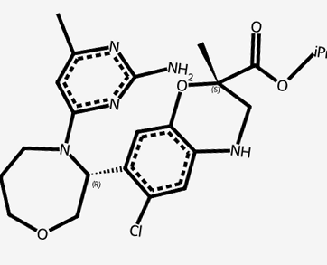 Cc1cc(N2CCCOC[C@H]2c2cc3c(cc2Cl)NC[C@@](C)(C(=O)OC(C)C)O3)nc(N)n1